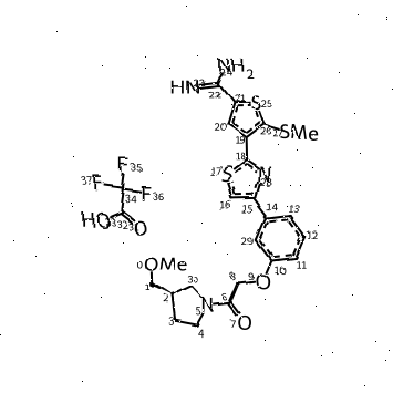 COC[C@@H]1CCN(C(=O)COc2cccc(-c3csc(-c4cc(C(=N)N)sc4SC)n3)c2)C1.O=C(O)C(F)(F)F